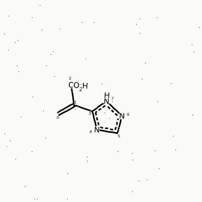 C=C(C(=O)O)c1ncn[nH]1